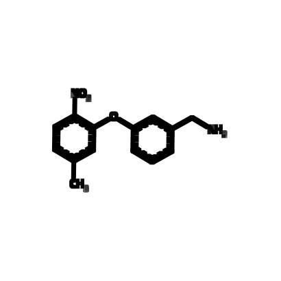 Cc1ccc([N+](=O)[O-])c(Oc2cccc(CN)c2)c1